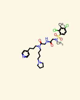 Cc1c(Cl)ccc(S(=O)(=O)N(C)CC(=O)NCC(=O)N(CCCCN2CCCC2)CCCc2ccncc2)c1Cl